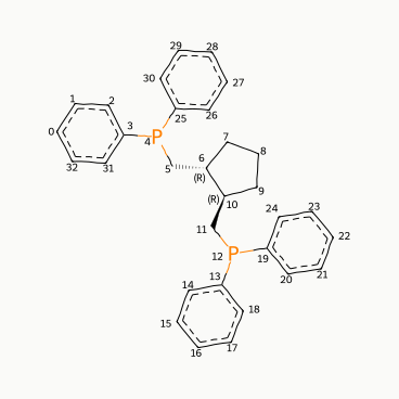 c1ccc(P(C[C@@H]2CCC[C@H]2CP(c2ccccc2)c2ccccc2)c2ccccc2)cc1